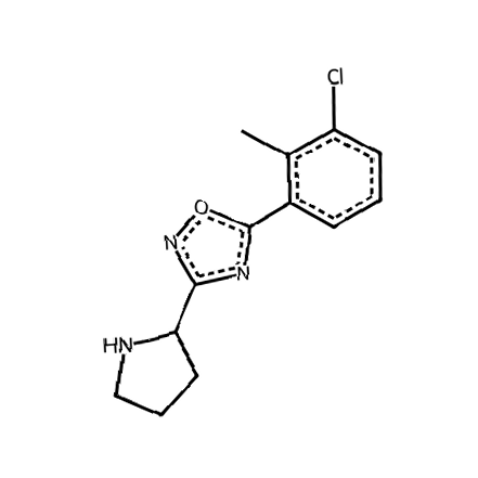 Cc1c(Cl)cccc1-c1nc(C2CCCN2)no1